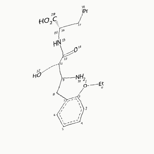 CCOc1ccccc1CC(N)C(O)C(=O)N[C@@H](CC(C)C)C(=O)O